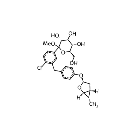 COC1(c2ccc(Cl)c(Cc3ccc(O[C@H]4C[C@@H]5[C@H](C)[C@@H]5O4)cc3)c2)O[C@H](CO)[C@@H](O)[C@H](O)[C@H]1O